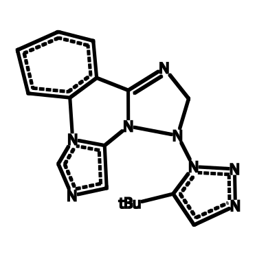 CC(C)(C)c1cnnn1N1CN=C2c3ccccc3-n3cncc3N21